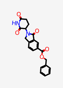 O=C1CCC(N2Cc3ccc(C(=O)OCc4ccccc4)cc3C2=O)C(=O)N1